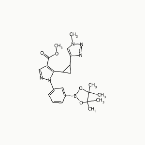 COC(=O)c1cnn(-c2cccc(B3OC(C)(C)C(C)(C)O3)c2)c1C1CC1c1cn(C)nn1